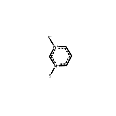 [S-][n+]1ccc[n+]([S-])c1